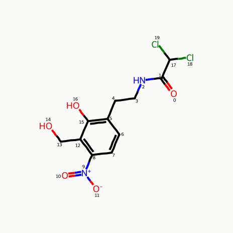 O=C(NCCc1ccc([N+](=O)[O-])c(CO)c1O)C(Cl)Cl